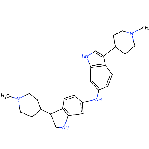 CN1CCC(c2c[nH]c3cc(Nc4ccc5c(c4)NCC5C4CCN(C)CC4)ccc23)CC1